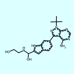 CC(C)(C)n1nc(-c2ccc3cc(C(O)NCCO)[nH]c3c2)c2c(N)ncnc21